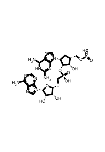 NC1=Nc2c(ncn2[C@@H]2C[C@H](CO[PH](=O)O)[C@H](O)[C@@H]2OP(=O)(O)CO[C@H]2O[C@@H](n3cnc4c(N)ncnc43)[C@@H](O)[C@H]2O)C(N)N1